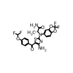 C[C@H](C(N)=O)N(c1ccc2c(c1)OC(F)(F)O2)c1nc(N)c(C(=O)c2ccc(OC(F)F)cc2)s1